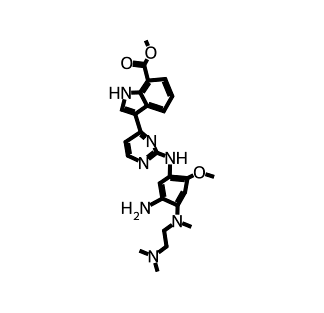 COC(=O)c1cccc2c(-c3ccnc(Nc4cc(N)c(N(C)CCN(C)C)cc4OC)n3)c[nH]c12